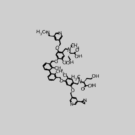 C/N=C/c1cncc(COc2cc(OCc3cccc(-c4cccc(COc5cc(OCc6cncc(C7=NC7)c6)c(CN(C)[C@@H](CCO)C(=O)O)cc5Cl)c4C)c3C)c(Cl)cc2CN(C)[C@@H](CCO)C(=O)O)c1